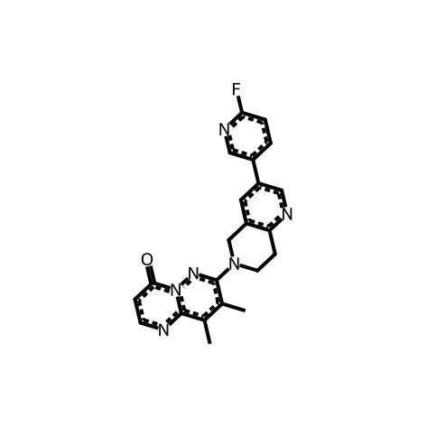 Cc1c(N2CCc3ncc(-c4ccc(F)nc4)cc3C2)nn2c(=O)ccnc2c1C